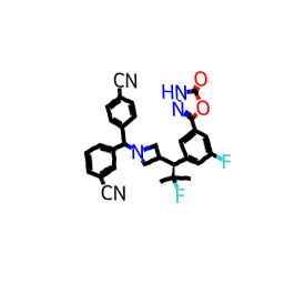 CC(C)(F)[C@H](c1cc(F)cc(-c2n[nH]c(=O)o2)c1)C1CN(C(c2ccc(C#N)cc2)c2cccc(C#N)c2)C1